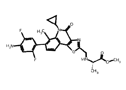 COC(=O)[C@H](C)NCc1nc2c(=O)n(C3CC3)c3c(C)c(-c4cc(F)c(N)cc4F)ccc3c2o1